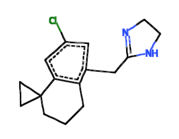 Clc1cc(CC2=NCCN2)c2c(c1)C1(CCC2)CC1